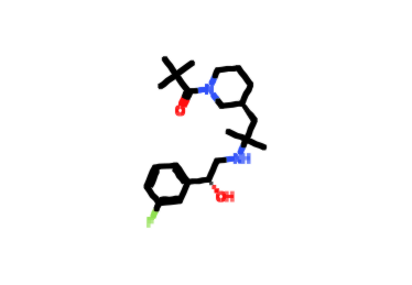 CC(C)(C[C@@H]1CCCN(C(=O)C(C)(C)C)C1)NC[C@H](O)c1cccc(F)c1